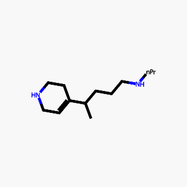 CCCNCCCC(C)C1=CCNCC1